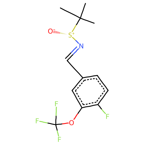 CC(C)(C)[S@@+]([O-])/N=C/c1ccc(F)c(OC(F)(F)F)c1